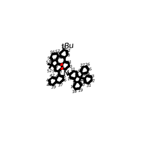 CC(C)(C)c1ccc(-c2ccc(N(c3ccc4c(c3)-c3ccccc3C4(c3ccccc3)c3ccccc3)c3ccc4ccccc4c3-c3ccc4c(c3)C(C)(C)c3ccccc3-4)cc2)cc1